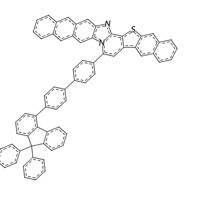 c1ccc(C2(c3ccccc3)c3ccccc3-c3c(-c4ccc(-c5ccc(-c6cc7c8cc9ccccc9cc8sc7c7nc8cc9cc%10ccccc%10cc9cc8n67)cc5)cc4)cccc32)cc1